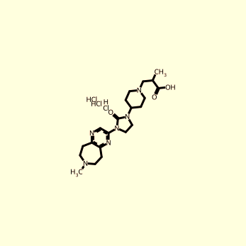 CC(CN1CCC(N2CCN(c3cnc4c(n3)CCN(C)CC4)C2=O)CC1)C(=O)O.Cl.Cl.Cl